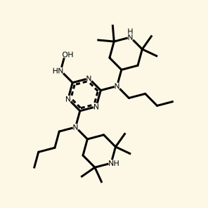 CCCCN(c1nc(NO)nc(N(CCCC)C2CC(C)(C)NC(C)(C)C2)n1)C1CC(C)(C)NC(C)(C)C1